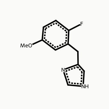 COc1ccc(F)c(Cc2c[nH]cn2)c1